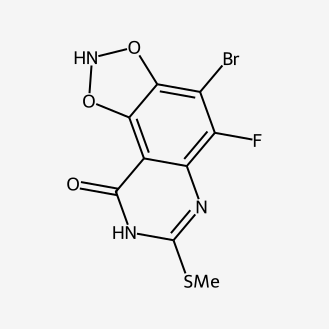 CSc1nc2c(F)c(Br)c3c(c2c(=O)[nH]1)ONO3